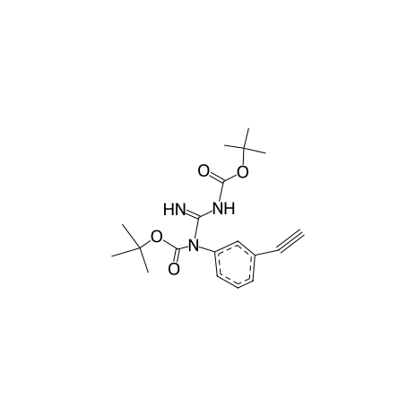 C#Cc1cccc(N(C(=N)NC(=O)OC(C)(C)C)C(=O)OC(C)(C)C)c1